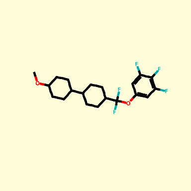 COC1CCC(C2CCC(C(F)(F)Oc3cc(F)c(F)c(F)c3)CC2)CC1